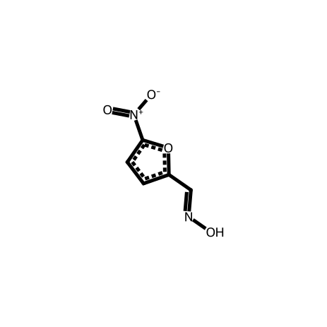 O=[N+]([O-])c1ccc(C=NO)o1